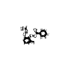 Cc1cccc(OOC(C)(C)C)c1OOC(=O)c1ccccc1